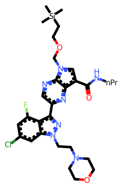 CCCNC(=O)c1cn(COCC[Si](C)(C)C)c2ncc(-c3nn(CCN4CCOCC4)c4cc(Cl)cc(F)c34)nc12